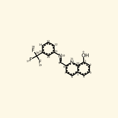 Oc1cccc2ccc(C=Nc3cccc(C(F)(F)F)c3)nc12